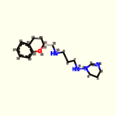 C1=NCCCN1NCCCNC[C@H]1CCc2ccccc2O1